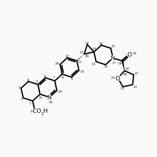 O=C(O)C1CCCC2=CC(c3ccc([C@@H]4CC45CCN(C(=O)[C@H]4CCCO4)CC5)cc3)C=NC21